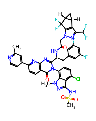 Cc1cc(-c2ccc3c(=O)n(-c4ccc(Cl)c5c(NS(C)(=O)=O)nn(C)c45)c([C@H](Cc4cc(F)cc(F)c4)NC(=O)Cn4nc(C(F)F)c5c4C(F)(F)[C@@H]4C[C@H]54)nc3n2)ccn1